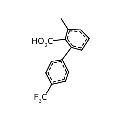 Cc1cccc(-c2ccc(C(F)(F)F)cc2)c1C(=O)O